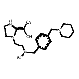 CCN(CCN1CCNC1=C(C#N)C#N)Cc1ccc(CN2CCCCC2)cc1